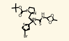 CC1OC(NC(=S)N[C@@](C)(CC2=NCCN2C(=O)OC(C)(C)C)c2cc(Br)cs2)O1